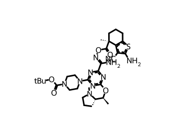 C[C@H](Oc1nc(/C(N)=N/OC(=O)[C@@]2(C)CCCc3sc(N)c(C#N)c32)nc(N2CCN(C(=O)OC(C)(C)C)CC2)n1)[C@@H]1CCCN1C